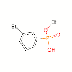 CCOP(=O)(O)c1cccc(CC)c1